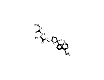 CC(C)[C@H](NC(=O)OC(C)(C)C)C(=O)OC[C@@H]1CC[C@](C)(c2ccc3c(N)ncnn23)O1